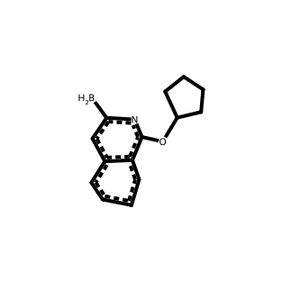 Bc1cc2ccccc2c(OC2CCCC2)n1